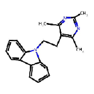 Cc1nc(C)c(CCn2c3ccccc3c3ccccc32)c(C)n1